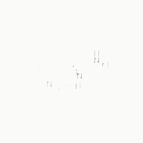 Cc1noc(C)c1Cn1cc(NCl)cn1